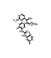 CC(C)(C)N/C=C(\C(=N)c1ccnc(N)n1)c1ccc(F)c(NC(=O)Nc2cc(F)ccc2F)c1